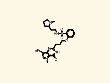 CCCc1nn(C)c2c(=O)[nH]c(CCCOc3ccccc3S(=O)(=O)NCCC3CCCN3C)nc12